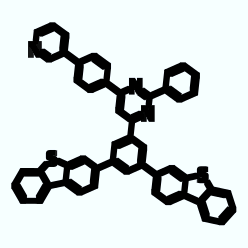 c1ccc(-c2nc(-c3ccc(-c4cccnc4)cc3)cc(-c3cc(-c4ccc5c(c4)sc4ccccc45)cc(-c4ccc5c(c4)sc4ccccc45)c3)n2)cc1